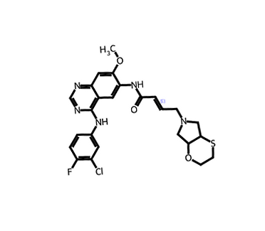 COc1cc2ncnc(Nc3ccc(F)c(Cl)c3)c2cc1NC(=O)/C=C/CN1CC2OCCSC2C1